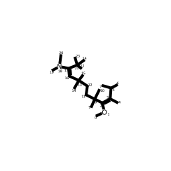 CO/C(=C(\C)C(C)C)C(C)(C)CCC(C)(C)/C=C(/N(C)C)C(C)(C)C